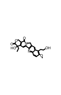 CCC1(O)C(=O)OCc2c1cc1n(c2=O)Cc2cc3c(CCO)c(OC)ccc3nc2-1